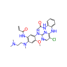 C=CC(=O)Nc1cc(Nc2ncc(Cl)c(Nc3ccccc3NC(C)=O)n2)c(OC)cc1N(C)CCN(C)C